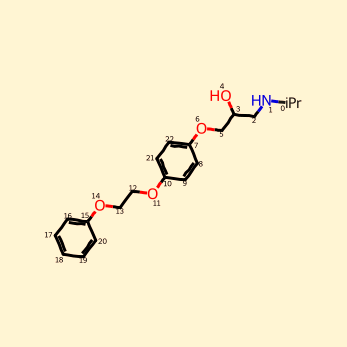 CC(C)NCC(O)COc1ccc(OCCOc2ccccc2)cc1